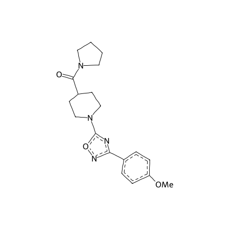 COc1ccc(-c2noc(N3CCC(C(=O)N4CCCC4)CC3)n2)cc1